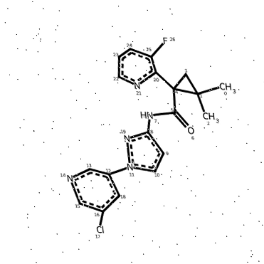 CC1(C)CC1(C(=O)Nc1ccn(-c2cncc(Cl)c2)n1)c1ncccc1F